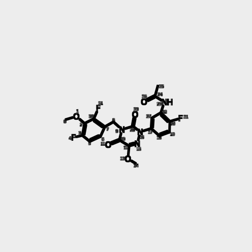 COc1c(F)ccc(Cn2c(=O)c(OC)nn(-c3ccc(F)c(NC(C)=O)c3)c2=O)c1F